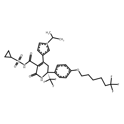 CC(C)n1ccc(C2=C(C(=O)NS(=O)(=O)C3CC3)C(=O)N[C@@](c3ccc(OCCCCCC(F)(F)F)cc3)(C(F)(F)F)C2)c1